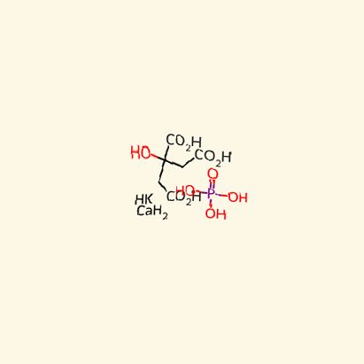 O=C(O)CC(O)(CC(=O)O)C(=O)O.O=P(O)(O)O.[CaH2].[KH]